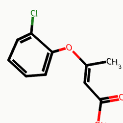 CC(=CC(=O)O)Oc1ccccc1Cl